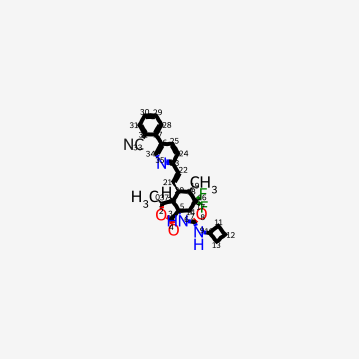 C[C@H]1OC(=O)[C@]2(NC(=O)NC3CCC3)CC(F)(F)[C@@H](C)[C@H](/C=C/c3ccc(-c4ccccc4C#N)cn3)[C@H]12